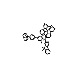 CCc1ccccc1C1(c2ccccc2CC)c2ccccc2-c2ccc(N(c3ccc4c(c3)C(C)(C)c3ccccc3-4)c3c(C)cc(-c4ccc(C56CC7CC(CC(C7)C5)C6)cc4)cc3C)cc21